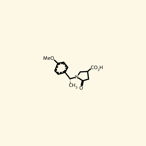 COc1ccc([C@@H](C)N2CC(C(=O)O)CC2=O)cc1